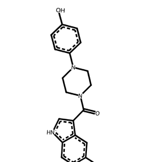 O=C(c1c[nH]c2ccc(F)cc12)N1CCN(c2ccc(O)cc2)CC1